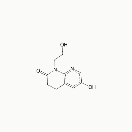 O=C1CCc2cc(O)cnc2N1CCO